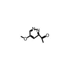 COc1cnnc(C(C)=O)c1